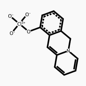 [O-][Cl+3]([O-])([O-])Oc1cccc2c1C=C1C=CC=CN1C2